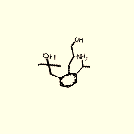 CC(C)c1cccc(CC(C)(C)O)c1C[C@@H](N)CO